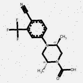 C[C@@H]1CN(c2ccc(C#N)c(C(F)(F)F)c2)[C@@H](C)CN1C(=O)O